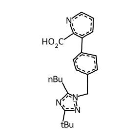 CCCCc1nc(C(C)(C)C)nn1Cc1ccc(-c2cccnc2C(=O)O)cc1